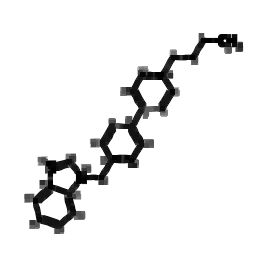 CCCCc1ccc(-c2ccc(Cn3cnc4ccccc43)cc2)cc1